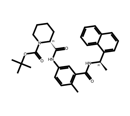 Cc1ccc(NC(=O)[C@H]2CCCCN2C(=O)OC(C)(C)C)cc1C(=O)N[C@H](C)c1cccc2ccccc12